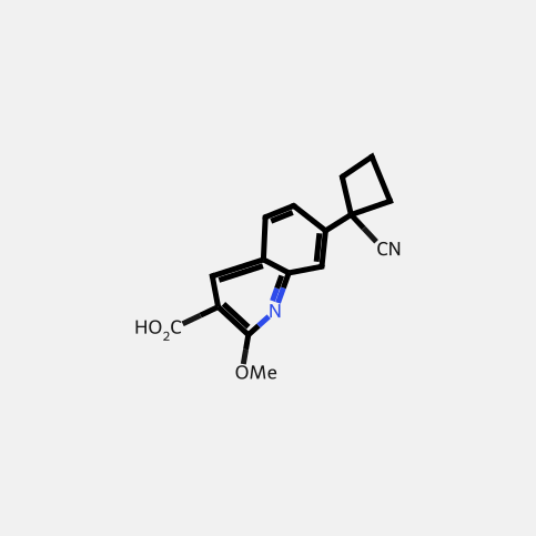 COc1nc2cc(C3(C#N)CCC3)ccc2cc1C(=O)O